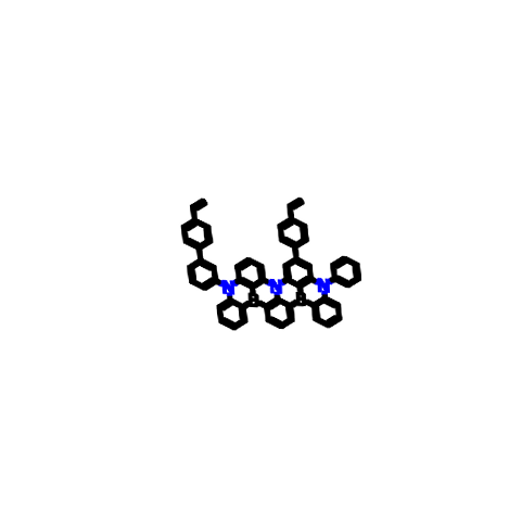 C=Cc1ccc(-c2cccc(N3c4ccccc4B4c5cccc6c5N(c5cccc3c54)c3cc(-c4ccc(C=C)cc4)cc4c3B6c3ccccc3N4c3ccccc3)c2)cc1